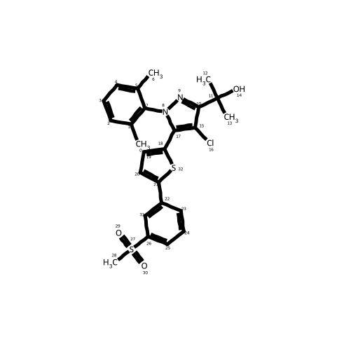 Cc1cccc(C)c1-n1nc(C(C)(C)O)c(Cl)c1-c1ccc(-c2cccc(S(C)(=O)=O)c2)s1